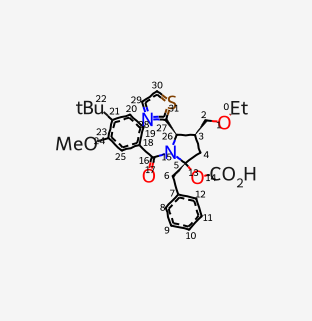 CCOC[C@H]1C[C@](Cc2ccccc2)(OC(=O)O)N(C(=O)c2ccc(C(C)(C)C)c(OC)c2)[C@H]1c1nccs1